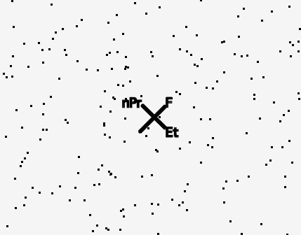 [CH2]CCC(C)(F)CC